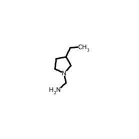 CCC1CCN(CN)C1